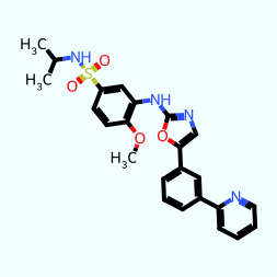 COc1ccc(S(=O)(=O)NC(C)C)cc1Nc1ncc(-c2cccc(-c3ccccn3)c2)o1